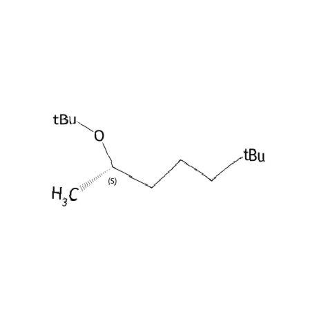 C[C@@H](CCCC(C)(C)C)OC(C)(C)C